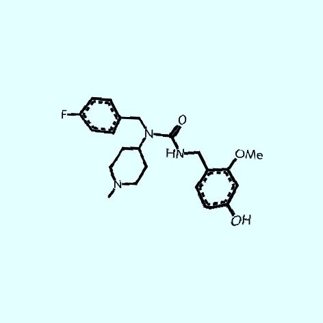 COc1cc(O)ccc1CNC(=O)N(Cc1ccc(F)cc1)C1CCN(C)CC1